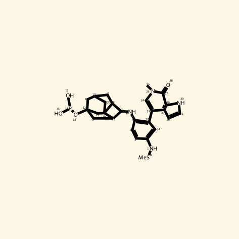 CSNc1ccc(NC2C3CC4CC5(OP(O)O)CC2C3(C4)C5)c(-c2cn(C)c(=O)c3[nH]ccc23)c1